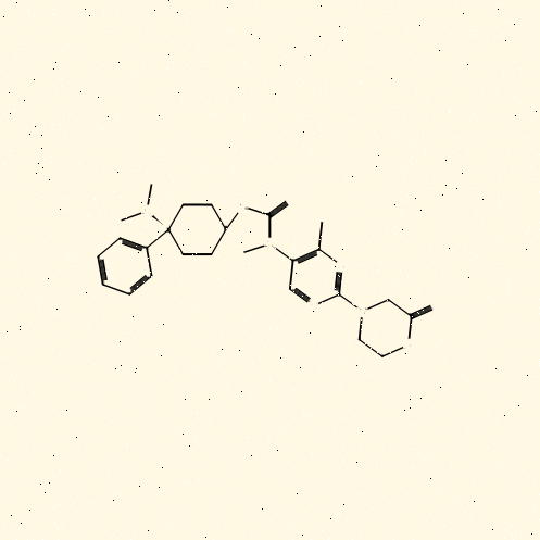 Cc1nc(N2CCNC(=O)C2)ncc1N1C[C@]2(CC[C@](c3ccccc3)(N(C)C)CC2)NC1=O